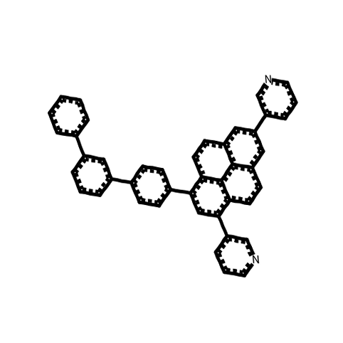 c1ccc(-c2cccc(-c3ccc(-c4cc(-c5cccnc5)c5ccc6cc(-c7cccnc7)cc7ccc4c5c76)cc3)c2)cc1